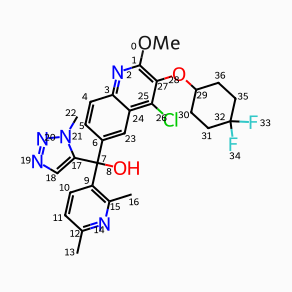 COc1nc2ccc(C(O)(c3ccc(C)nc3C)c3cnnn3C)cc2c(Cl)c1OC1CCC(F)(F)CC1